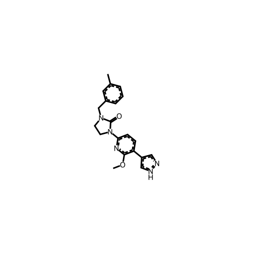 COc1nc(N2CCN(Cc3cccc(C)c3)C2=O)ccc1-c1cn[nH]c1